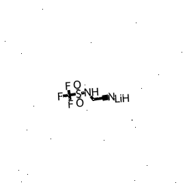 N#CCNS(=O)(=O)C(F)(F)F.[LiH]